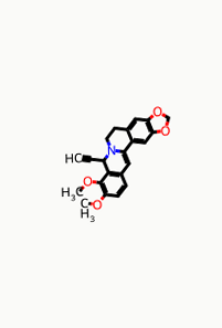 C#CC1c2c(ccc(OC)c2OC)C=C2c3cc4c(cc3CCN21)OCO4